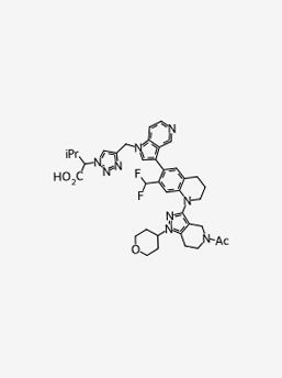 CC(=O)N1CCc2c(c(N3CCCc4cc(-c5cn(Cc6cn(C(C(=O)O)C(C)C)nn6)c6ccncc56)c(C(F)F)cc43)nn2C2CCOCC2)C1